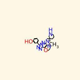 CN1CCOc2c1c(N1CC3(CCCNC3)C1)nn1c(-c3cccc(O)c3)nnc21